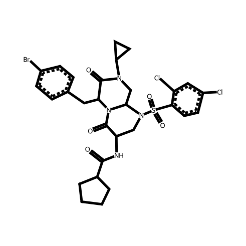 O=C(NC1CN(S(=O)(=O)c2ccc(Cl)cc2Cl)C2CN(C3CC3)C(=O)C(Cc3ccc(Br)cc3)N2C1=O)C1CCCC1